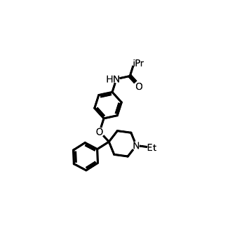 CCN1CCC(Oc2ccc(NC(=O)C(C)C)cc2)(c2ccccc2)CC1